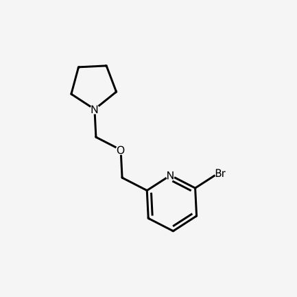 Brc1cccc(COCN2CCCC2)n1